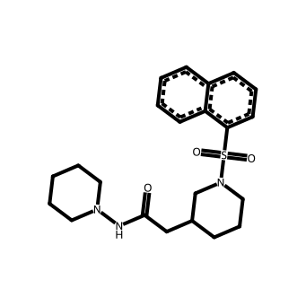 O=C(CC1CCCN(S(=O)(=O)c2cccc3ccccc23)C1)NN1CCCCC1